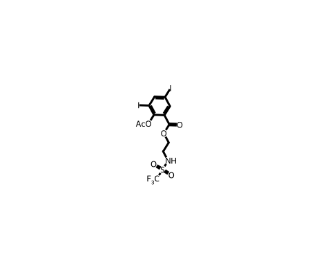 CC(=O)Oc1c(I)cc(I)cc1C(=O)OCCNS(=O)(=O)C(F)(F)F